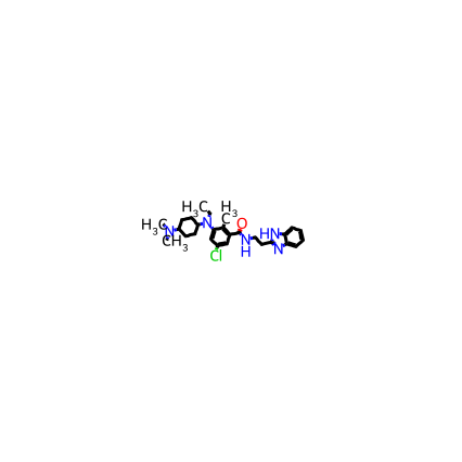 CCN(c1cc(Cl)cc(C(=O)NCCc2nc3ccccc3[nH]2)c1C)C1CCC(N(C)C)CC1